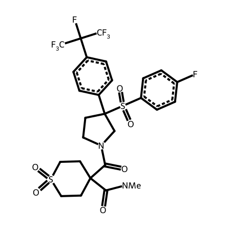 CNC(=O)C1(C(=O)N2CCC(c3ccc(C(F)(C(F)(F)F)C(F)(F)F)cc3)(S(=O)(=O)c3ccc(F)cc3)C2)CCS(=O)(=O)CC1